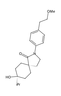 COCCc1ccc(N2CC[C@]3(CC[C@@](O)(C(C)C)CC3)C2=O)cc1